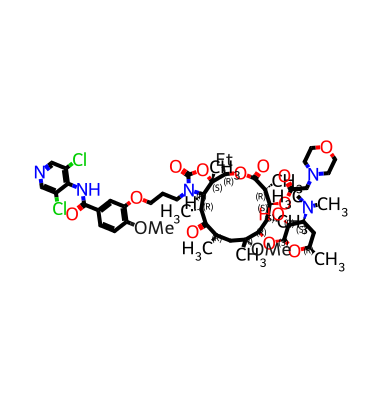 CC[C@H]1OC(=O)[C@H](C)[C@@H](OC(=O)CN2CCOCC2)[C@H](C)[C@@H](O[C@@H]2O[C@H](C)C[C@H](N(C)C)[C@H]2O)[C@](C)(OC)C[C@@H](C)C(=O)[C@H](C)[C@H]2N(CCCOc3cc(C(=O)Nc4c(Cl)cncc4Cl)ccc3OC)C(=O)O[C@]12C